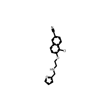 N#Cc1ccc2c(Cl)c(OCCNCc3ccco3)ccc2c1